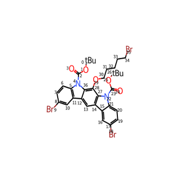 CC(C)(C)OC(=O)n1c2ccc(Br)cc2c2cc3c4cc(Br)ccc4n(C(=O)OC(C)(C)C)c3c(OCCCCCBr)c21